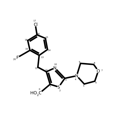 O=C(O)c1sc(N2CCOCC2)nc1Cc1ccc(Cl)cc1F